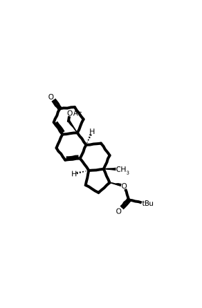 CC(=O)OC[C@]12CCC(=O)C=C1CC=C1[C@@H]2CC[C@]2(C)[C@@H](OC(=O)C(C)(C)C)CC[C@@H]12